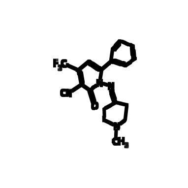 [C-]#[N+]c1c(C(F)(F)F)cc(-c2ccccc2)n(N=C2CCN(C)CC2)c1=O